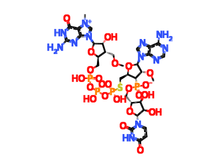 COC[C@H]1[C@@H](O)[C@H](n2c[n+](C)c3c(=O)[nH]c(N)nc32)O[C@@H]1COP(=O)(O)OP(=O)(O)OP(=O)(O)SC[C@H]1O[C@@H](n2cnc3c(N)ncnc32)[C@H](OC)[C@@H]1P(=O)([O-])OC[C@H]1O[C@@H](n2ccc(=O)[nH]c2=O)[C@H](O)[C@@H]1O